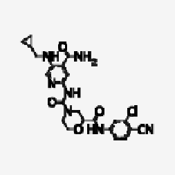 N#Cc1ccc(NC(=O)C2CN(C(=O)Nc3cc(C(N)=O)c(NCC4CC4)cn3)CCO2)cc1Cl